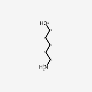 NCCCC[C]O